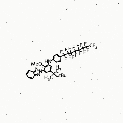 COc1c(Nc2ccc(C(F)(F)C(F)(F)C(F)(F)C(F)(F)C(F)(F)C(F)(F)C(F)(F)C(F)(F)F)cc2)cc(C(C)(C)CC(C)(C)C)cc1-n1nc2ccccc2n1